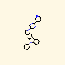 c1ccc(-n2c3ccccc3c3cc4c(ccn4-c4cnc(-c5cccnc5)nc4)cc32)cc1